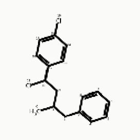 CC(Cc1cc[c]cc1)CC(Cl)c1ccc(Cl)cc1